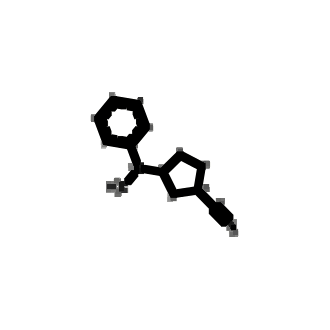 CN(c1ccccc1)C1CCC(C#N)C1